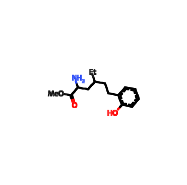 CCC(CCc1ccccc1O)CC(N)C(=O)OC